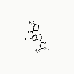 Cc1cccc(C(=O)c2c(C)cc3n2CCC3C(=O)OC(C)C)c1